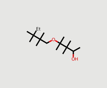 CCC(C)(C)C(C)(C)COC(C)(C)C(C)(C)C(C)O